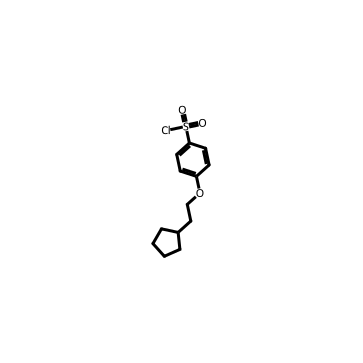 O=S(=O)(Cl)c1ccc(OCCC2CCCC2)cc1